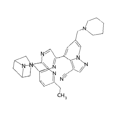 CCc1ccc(CN2C3CC2CN(c2cnc(-c4cc(CN5CCCCC5)cn5ncc(C#N)c45)cn2)C3)cn1